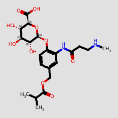 CNCCC(=O)Nc1cc(COC(=O)C(C)C)ccc1O[C@@H]1O[C@H](C(=O)O)[C@@H](O)[C@H](O)[C@H]1O